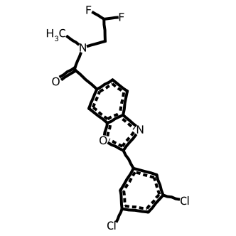 CN(CC(F)F)C(=O)c1ccc2nc(-c3cc(Cl)cc(Cl)c3)oc2c1